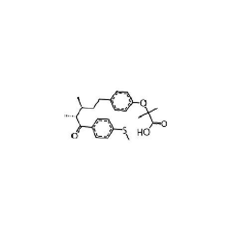 CSc1ccc(C(=O)[C@H](C)[C@@H](C)CCc2ccc(OC(C)(C)C(=O)O)cc2)cc1